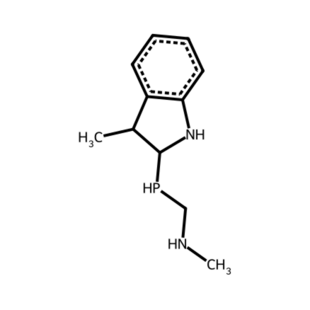 CNCPC1Nc2ccccc2C1C